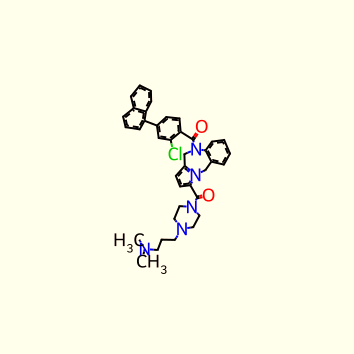 CN(C)CCCN1CCN(C(=O)c2ccc3n2Cc2ccccc2N(C(=O)c2ccc(-c4cccc5ccccc45)cc2Cl)C3)CC1